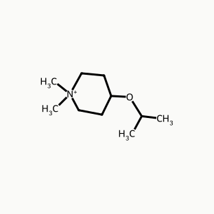 CC(C)OC1CC[N+](C)(C)CC1